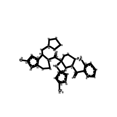 CCC[C@H]1N(C(=O)c2ncccc2C(F)(F)F)CCC[C@@]1(Oc1csc(C(F)(F)F)c1)C(=O)N1CCc2sc(Cl)cc2C1CN1CCCC1